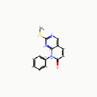 CSc1ncc2ccc(=O)n(-c3c[c]ccc3)c2n1